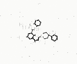 Cc1cc(C(C)Nc2ccccc2C(=O)O)c2oc(N3CCC(C#N)(c4ccccc4)CC3)c(C)c(=O)c2c1